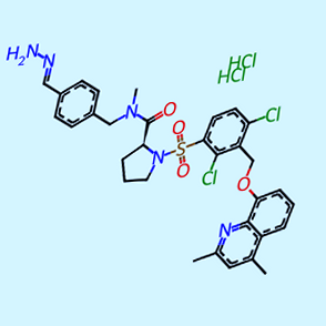 Cc1cc(C)c2cccc(OCc3c(Cl)ccc(S(=O)(=O)N4CCC[C@H]4C(=O)N(C)Cc4ccc(C=NN)cc4)c3Cl)c2n1.Cl.Cl